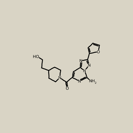 Nc1nc(C(=O)N2CCC(CCO)CC2)cc2nc(-c3ccco3)nn12